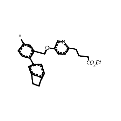 CCOC(=O)CCCc1ccc(OCc2cc(F)ccc2-c2ccc3c(c2)CC3)cn1